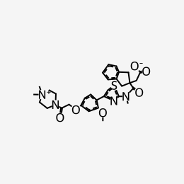 COc1cc(OCC(=O)N2CC[N+](C)(C)CC2)ccc1-c1csc(N(C)C(=O)C2(CC(=O)[O-])Cc3ccccc3C2)n1